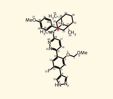 COCOc1cc(-c2cn[nH]c2)c(F)cc1-c1ccc(N(C)[C@@H]2C[C@]3(C)CCC[C@](C)(C2)N3Cc2ccc(OC)cc2)nn1